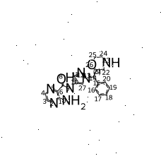 Nc1nccnc1C(=O)Nc1cnn(C(c2ccccc2)[C@@H]2CNCCO2)c1